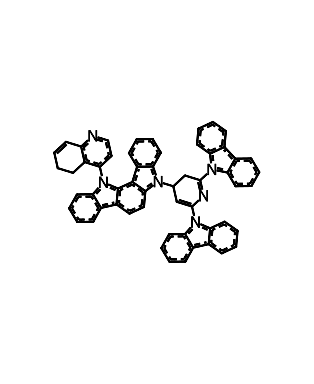 C1=Cc2nccc(-n3c4ccccc4c4ccc5c(c6ccccc6n5C5C=C(n6c7ccccc7c7ccccc76)N=C(n6c7ccccc7c7ccccc76)C5)c43)c2CC1